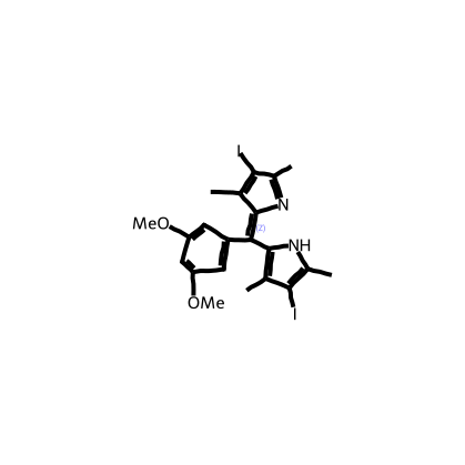 COc1cc(OC)cc(/C(=C2/N=C(C)C(I)=C2C)c2[nH]c(C)c(I)c2C)c1